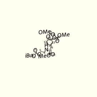 CCC(C)OC(=O)OCCN[C@@H](Cc1ccc(OC(=O)OC)c(OC(=O)OC)c1)C(=O)OC